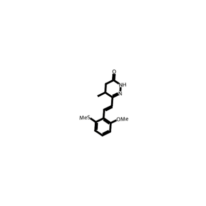 COc1cccc(SC)c1C=CC1=NNC(=O)CC1C